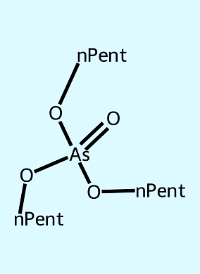 CCCCCO[As](=O)(OCCCCC)OCCCCC